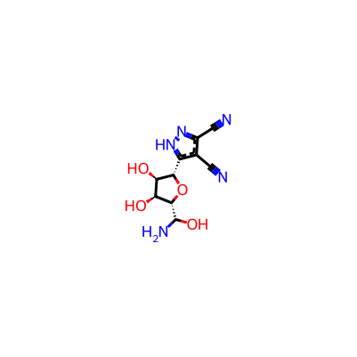 N#Cc1n[nH]c([C@@H]2O[C@H](C(N)O)[C@@H](O)[C@H]2O)c1C#N